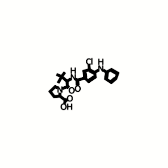 CC(C)(C)C(NC(=O)c1ccc(Nc2ccccc2)c(Cl)c1)C(=O)N1CCCC1C(=O)O